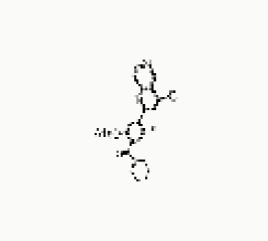 COc1cc(-c2cc(Cl)c3cnccc3n2)c(F)cc1C(=O)N1CCCCC1